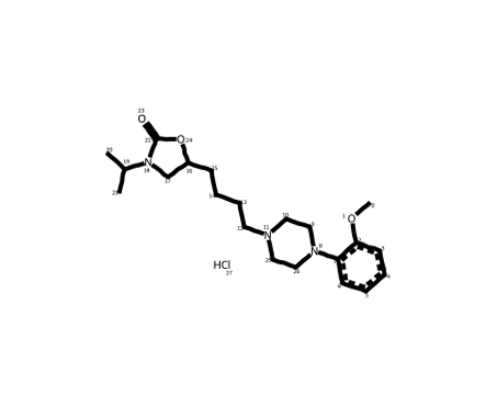 COc1ccccc1N1CCN(CCCCC2CN(C(C)C)C(=O)O2)CC1.Cl